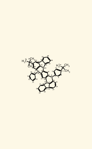 CC(C)(C)c1ccc(N2c3cc4c(cc3B3c5ccccc5-c5cccc2c53)N(c2ccccc2)c2cc(C(C)(C)C)cc3c2B4c2ccccc2-3)cc1